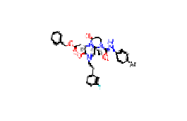 CC(=O)c1ccc(NC(=O)N2CCC(=O)N3[C@@H]2CN(CCc2cccc(F)c2)C(=O)[C@@H]3CC(=O)OCc2ccccc2)cc1